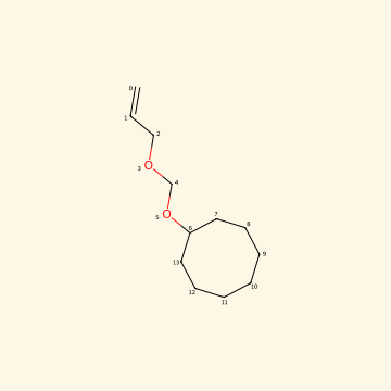 C=CCOCOC1CCCCCCC1